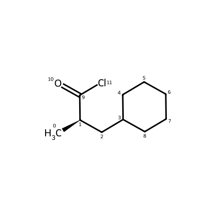 C[C@H](CC1CCCCC1)C(=O)Cl